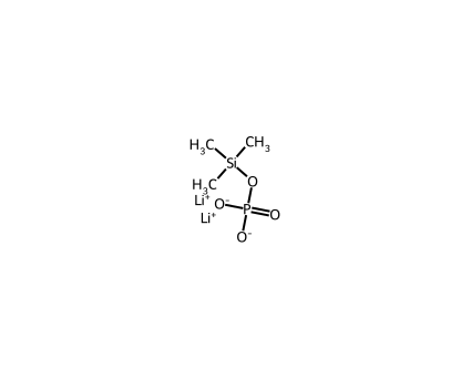 C[Si](C)(C)OP(=O)([O-])[O-].[Li+].[Li+]